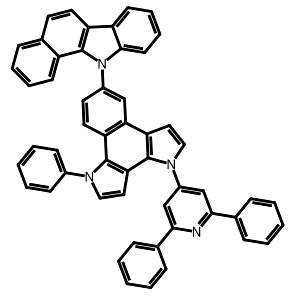 c1ccc(-c2cc(-n3ccc4c5cc(-n6c7ccccc7c7ccc8ccccc8c76)ccc5c5c(ccn5-c5ccccc5)c43)cc(-c3ccccc3)n2)cc1